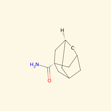 NC(=O)[C@]12CC3[CH][C@@H](CC(C3)C1)C2